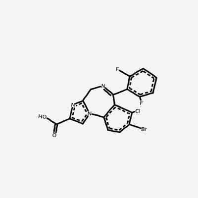 O=C(O)c1cn2c(n1)CN=C(c1c(F)cccc1F)c1c-2ccc(Br)c1Cl